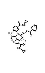 Cc1ccc(C(=O)NC2CC2)cc1N(C(=O)OCOC(=O)c1cccnc1)c1ncnn2cc(C(=O)NC3CC3)c(C)c12